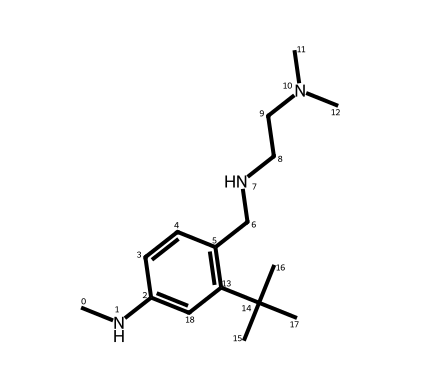 CNc1ccc(CNCCN(C)C)c(C(C)(C)C)c1